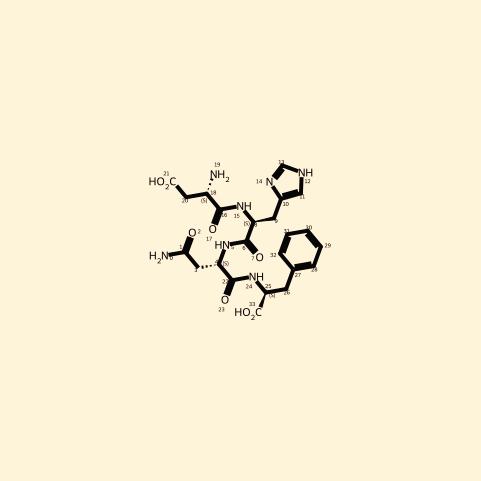 NC(=O)C[C@H](NC(=O)[C@H](Cc1c[nH]cn1)NC(=O)[C@@H](N)CC(=O)O)C(=O)N[C@@H](Cc1ccccc1)C(=O)O